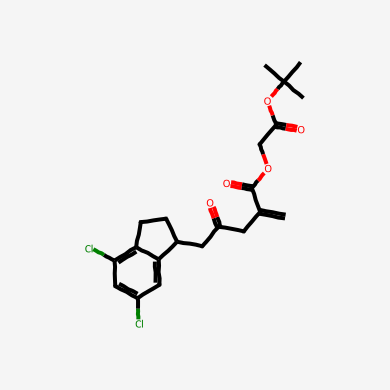 C=C(CC(=O)CC1CCc2c(Cl)cc(Cl)cc21)C(=O)OCC(=O)OC(C)(C)C